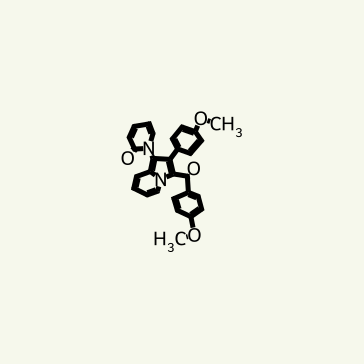 COc1ccc(C(=O)c2c(-c3ccc(OC)cc3)c(-n3ccccc3=O)c3ccccn23)cc1